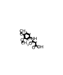 COc1ccc(NC(=O)CC(=O)O)cc1OC